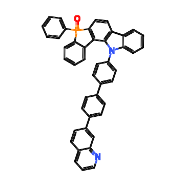 O=P1(c2ccccc2)c2ccccc2-c2c1ccc1c3ccccc3n(-c3ccc(-c4ccc(-c5ccc6cccnc6c5)cc4)cc3)c21